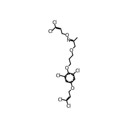 CC(COCCCOc1c(Cl)cc(OCC=C(Cl)Cl)cc1Cl)=NOCC=C(Cl)Cl